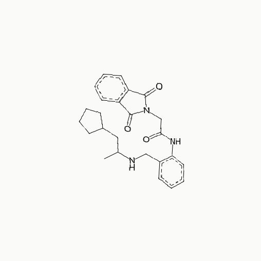 CC(CC1CCCC1)NCc1ccccc1NC(=O)CN1C(=O)c2ccccc2C1=O